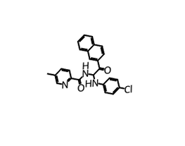 Cc1ccc(C(=O)NC(Nc2ccc(Cl)cc2)C(=O)c2ccc3ccccc3c2)nc1